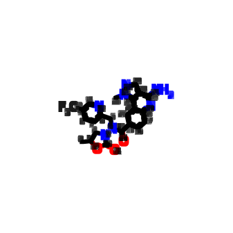 CC1CN(N(Cc2ccc(C(F)(F)F)cn2)C(=O)c2ccc3nc(N)c4cnn(C)c4c3c2)C(=O)O1